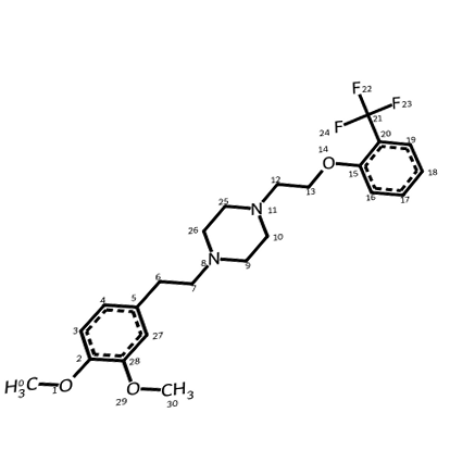 COc1ccc(CCN2CCN(CCOc3ccccc3C(F)(F)F)CC2)cc1OC